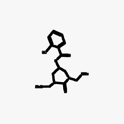 CCC(C)c1ccccc1C(=O)OC1CN(COC)C(=O)N(COC)C1